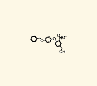 O=[N+]([O-])c1cc(CO)ccc1Oc1ccc(OCc2ccccc2)cc1